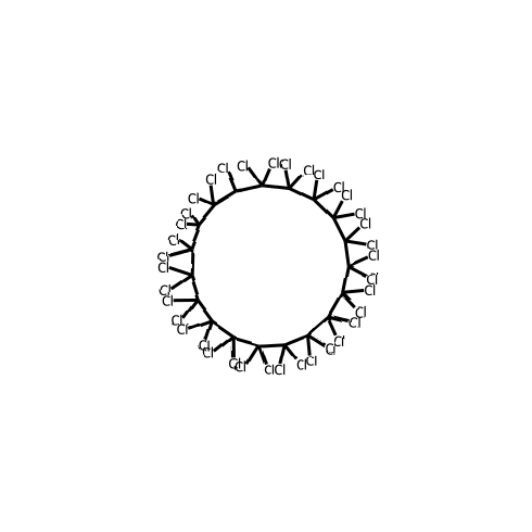 Cl[C]1C(Cl)(Cl)C(Cl)(Cl)C(Cl)(Cl)C(Cl)(Cl)C(Cl)(Cl)C(Cl)(Cl)C(Cl)(Cl)C(Cl)(Cl)C(Cl)(Cl)C(Cl)(Cl)C(Cl)(Cl)C(Cl)(Cl)C(Cl)(Cl)C(Cl)(Cl)C(Cl)(Cl)C(Cl)(Cl)C(Cl)(Cl)C1(Cl)Cl